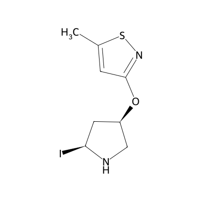 Cc1cc(O[C@H]2CN[C@@H](I)C2)ns1